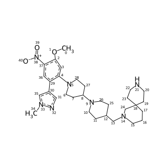 COc1cc(N2CCC(N3CCC(CN4CCCC5(CCNCC5)C4)CC3)CC2)c(-c2cnn(C)c2)cc1[N+](=O)[O-]